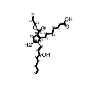 CCCCC[C@H](O)/C=C/[C@@H]1C(CCCCCCC(=O)O)=C(C(=O)OCCC)C[C@H]1O